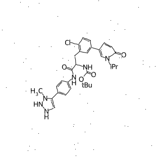 CC(C)n1cc(-c2ccc(Cl)c(CC(NC(=O)OC(C)(C)C)C(=O)Nc3ccc(C4=CNNN4C)cc3)c2)ccc1=O